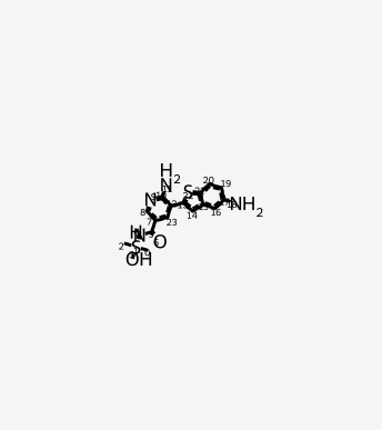 C[SH](C)(O)=NC(=O)c1cnc(N)c(-c2cc3cc(N)ccc3s2)c1